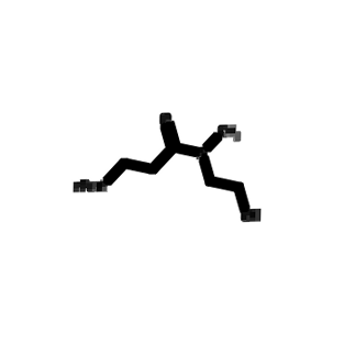 CCCCCCCC(=O)N(C)CCO